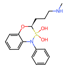 CNCCC[C@@H]1Oc2ccccc2N(c2ccccc2)S1(O)O